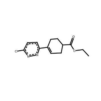 CCOC(=O)C1CC=C(c2ccc(Cl)nn2)CC1